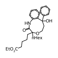 CCCCCCC1(CCCCC(=O)OCC)OCCC(O)(c2ccccc2)c2ccccc2NC1=O